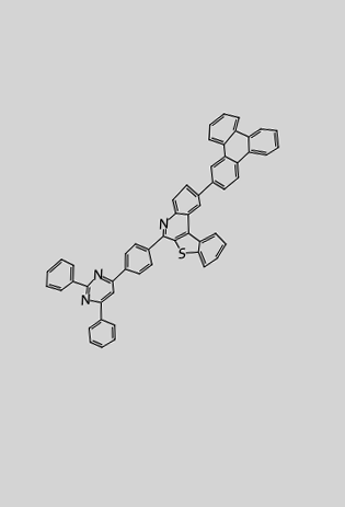 c1ccc(-c2cc(-c3ccc(-c4nc5ccc(-c6ccc7c8ccccc8c8ccccc8c7c6)cc5c5c4sc4ccccc45)cc3)nc(-c3ccccc3)n2)cc1